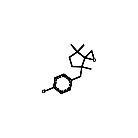 CC1(C)CCC(C)(Cc2ccc(Cl)cc2)C12CO2